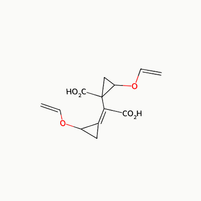 C=COC1CC1=C(C(=O)O)C1(C(=O)O)CC1OC=C